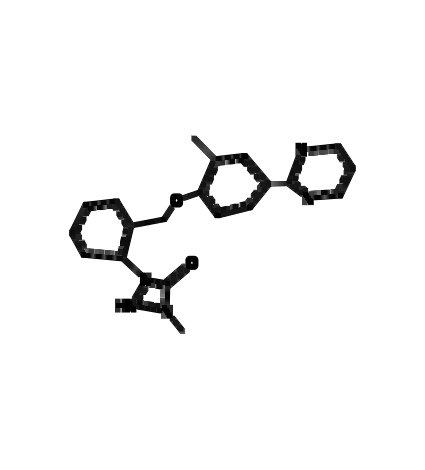 Cc1cc(-c2ncccn2)ccc1OCc1ccccc1-n1[nH]n(C)c1=O